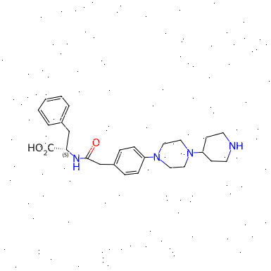 O=C(Cc1ccc(N2CCN(C3CCNCC3)CC2)cc1)N[C@@H](Cc1ccccc1)C(=O)O